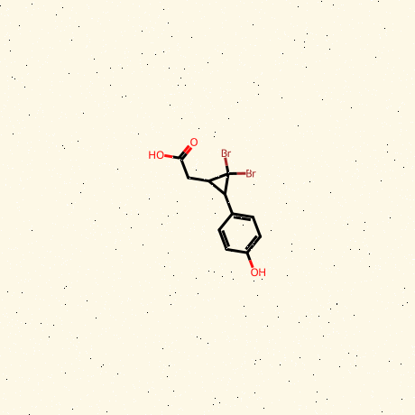 O=C(O)CC1C(c2ccc(O)cc2)C1(Br)Br